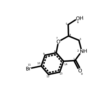 O=C1NCC(CO)Oc2cc(Br)ccc21